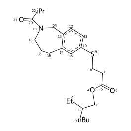 CCCCC(CC)COC(=O)CCSc1ccc2c(c1)CCCN(C(=O)C(C)C)C2